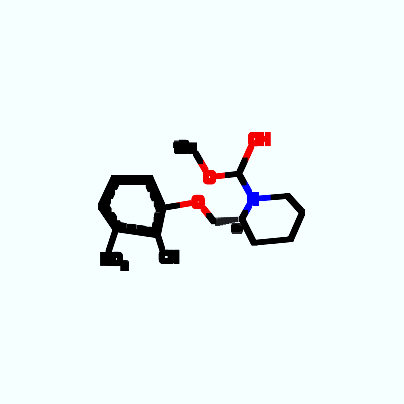 CC(C)(C)OC(O)N1CCCC[C@@H]1COc1cccc([N+](=O)[O-])c1C#N